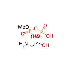 COP(=O)(OC)OP(=O)(O)O.NCCO